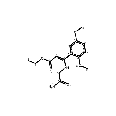 CCOC(=O)/C=C(\NCC(N)=O)c1cc(OC)ccc1OC